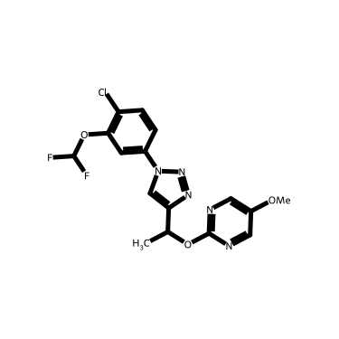 COc1cnc(OC(C)c2cn(-c3ccc(Cl)c(OC(F)F)c3)nn2)nc1